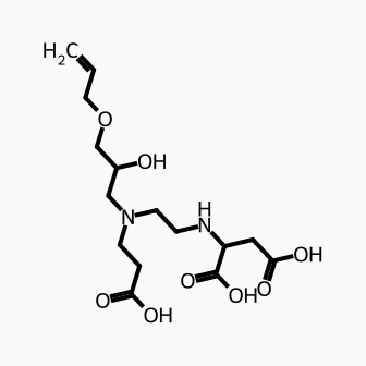 C=CCOCC(O)CN(CCNC(CC(=O)O)C(=O)O)CCC(=O)O